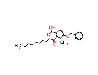 CCCCCCCCCC(=O)c1c(C(=O)O)ccc(OCc2ccccc2)c1C